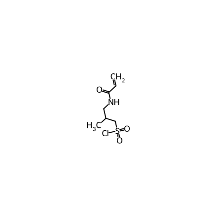 C=CC(=O)NCC(C)CS(=O)(=O)Cl